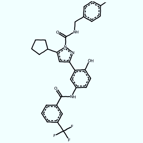 O=C(Nc1ccc(O)c(-c2cc(C3CCCC3)n(C(=O)NCc3ccc(F)cc3)n2)c1)c1cccc(C(F)(F)F)c1